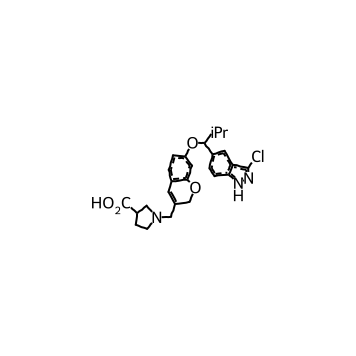 CC(C)C(Oc1ccc2c(c1)OCC(CN1CCC(C(=O)O)C1)=C2)c1ccc2[nH]nc(Cl)c2c1